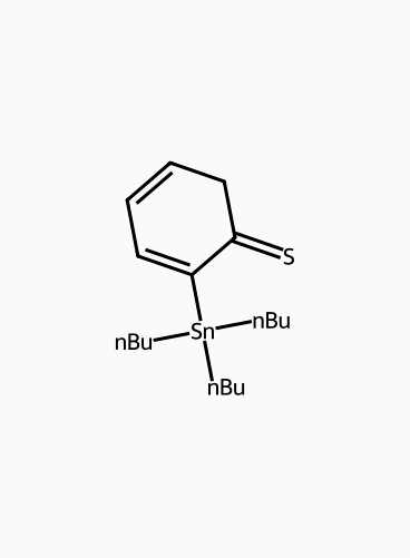 CCC[CH2][Sn]([CH2]CCC)([CH2]CCC)[C]1=CC=CCC1=S